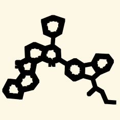 CCCC(C)C1c2ccccc2-c2cc(-c3cc(-c4ccccc4)c4ccc5sc6c7ccccc7ccc6c5c4n3)ccc21